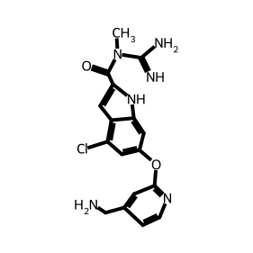 CN(C(=N)N)C(=O)c1cc2c(Cl)cc(Oc3cc(CN)ccn3)cc2[nH]1